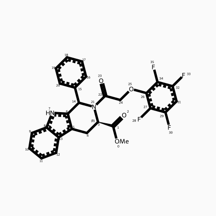 COC(=O)[C@H]1Cc2c([nH]c3ccccc23)C(c2ccccc2)N1C(=O)COc1c(F)c(F)cc(F)c1F